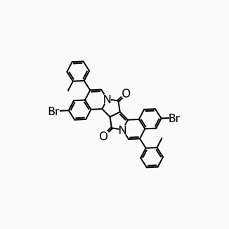 Cc1ccccc1C1=CN2C(=O)C3C(=C2c2ccc(Br)cc21)C(=O)N1C=C(c2ccccc2C)c2cc(Br)ccc2C31